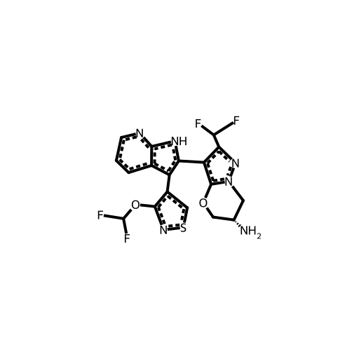 N[C@@H]1COc2c(-c3[nH]c4ncccc4c3-c3csnc3OC(F)F)c(C(F)F)nn2C1